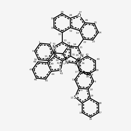 c1ccc(-c2nc(-c3ccc4c(c3)sc3ccccc34)nc(-c3cccc4oc5cccc(-c6nc(-c7ccccc7)c7sc8ccccc8c7n6)c5c34)n2)cc1